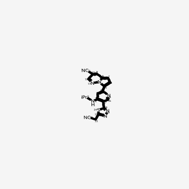 CC(C)Nc1cc(-c2ccc3cc(C#N)cnn23)ncc1-c1nnc(CC#N)s1